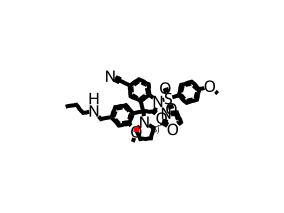 CCCNCc1ccc(C2(N3CCC[C@H]3c3ncco3)C(=O)N(S(=O)(=O)c3ccc(OC)cc3)c3ccc(C#N)cc32)c(OC)c1